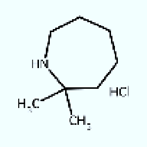 CC1(C)CCCCCN1.Cl